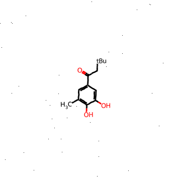 Cc1cc(C(=O)CC(C)(C)C)cc(O)c1O